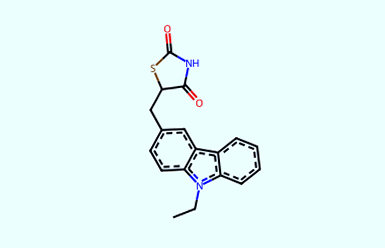 CCn1c2ccccc2c2cc(CC3SC(=O)NC3=O)ccc21